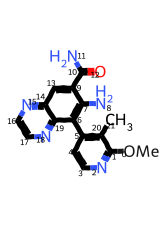 COc1nccc(-c2c(N)c(C(N)=O)cc3nccnc23)c1C